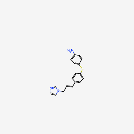 Nc1ccc(Sc2ccc(C=CCn3ccnc3)cc2)cc1